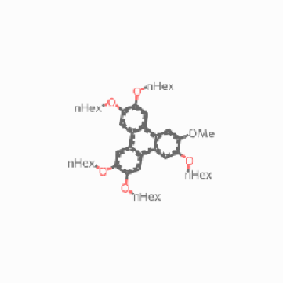 CCCCCCOc1cc2c(cc1OC)c1cc(OCCCCCC)c(OCCCCCC)cc1c1cc(OCCCCCC)c(OCCCCCC)cc21